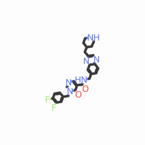 O=C(NCc1ccc2ncc(CC3CCNCC3)nc2c1)c1cncn(Cc2ccc(F)c(F)c2)c1=O